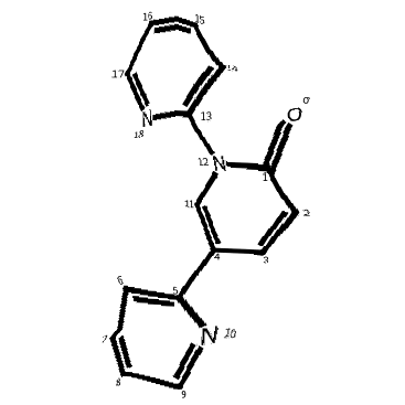 O=c1ccc(-c2ccccn2)cn1-c1ccccn1